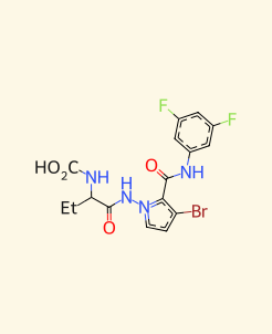 CCC(NC(=O)O)C(=O)Nn1ccc(Br)c1C(=O)Nc1cc(F)cc(F)c1